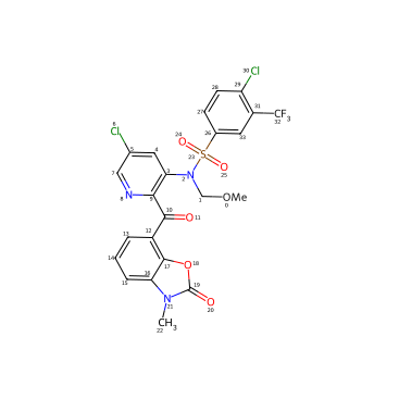 COCN(c1cc(Cl)cnc1C(=O)c1cccc2c1oc(=O)n2C)S(=O)(=O)c1ccc(Cl)c(C(F)(F)F)c1